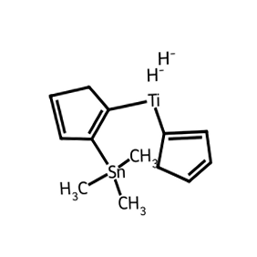 [CH3][Sn]([CH3])([CH3])[C]1=[C]([Ti][C]2=CC=CC2)CC=C1.[H-].[H-]